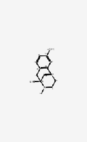 CN1CC[C@]23CCCCC2[C@H]1Cc1ccc(O)cc13